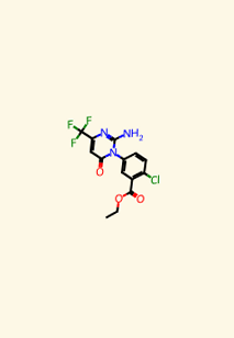 CCOC(=O)c1cc(-n2c(N)nc(C(F)(F)F)cc2=O)ccc1Cl